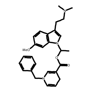 COc1ccc2c(CCN(C)C)cn(C(C)OC(=O)C3=CN(Cc4ccccc4)C=CC3)c2c1